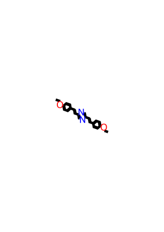 CCOc1ccc(C=Cc2cnc(C=Cc3ccc(OCC)cc3)cn2)cc1